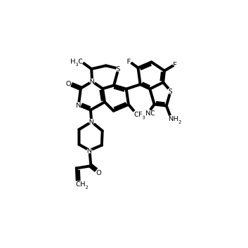 C=CC(=O)N1CCN(c2nc(=O)n3c4c(c(-c5c(F)cc(F)c6sc(N)c(C#N)c56)c(C(F)(F)F)cc24)SCC3C)CC1